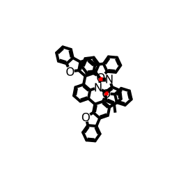 Cc1ccc2nc(-c3ccccc3)n(-c3c(-c4c5oc6ccccc6c5cc5c4oc4ccccc45)cccc3-c3c4oc5ccccc5c4cc4c3oc3ccccc34)c2c1